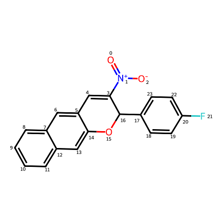 O=[N+]([O-])C1=Cc2cc3ccccc3cc2OC1c1ccc(F)cc1